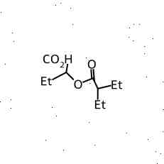 CCC(CC)C(=O)OC(CC)C(=O)O